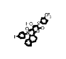 O=c1oc2c3c(n(-c4ccc(F)cc4)c(=O)c2c(O)c1Sc1cccc(C(F)(F)F)c1)-c1ccccc1CC3